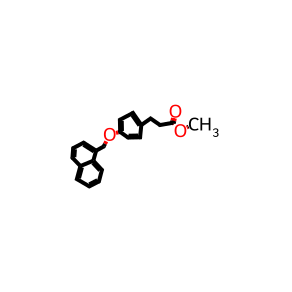 COC(=O)CCc1ccc(OCc2cccc3ccccc23)cc1